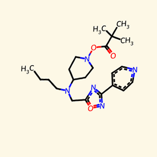 CCCCN(Cc1nc(-c2ccncc2)no1)C1CCN(OC(=O)C(C)(C)C)CC1